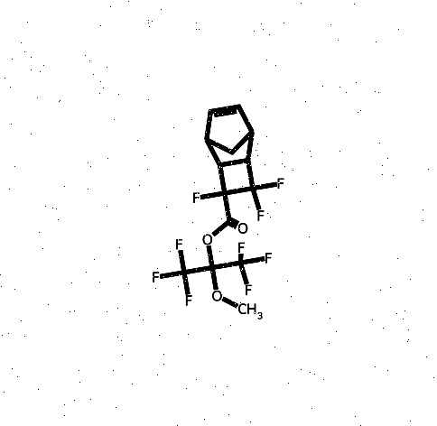 COC(OC(=O)C1(F)C2C3C=CC(C3)C2C1(F)F)(C(F)(F)F)C(F)(F)F